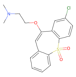 CN(C)CCOC1=Cc2ccccc2S(=O)(=O)c2ccc(Cl)cc21